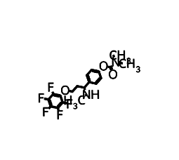 CNC(CCOc1c(F)c(F)c(F)c(F)c1F)c1ccc(OC(=O)N(C)C)cc1